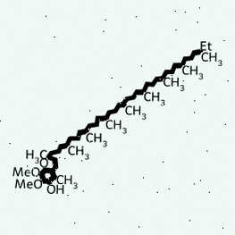 CC/C(C)=C/CC/C(C)=C/CC/C(C)=C/CC/C(C)=C/CC/C(C)=C/CC/C(C)=C/CC/C(C)=C/CC/C(C)=C/CC[C@]1(C)C=Cc2c(C)c(O)c(OC)c(OC)c2O1